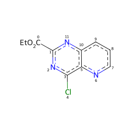 CCOC(=O)c1nc(Cl)c2ncccc2n1